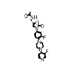 CC(=O)NC[C@H]1CN(c2ccc(N3CCN(c4ccncc4F)CC3)c(F)c2)C(=O)O1